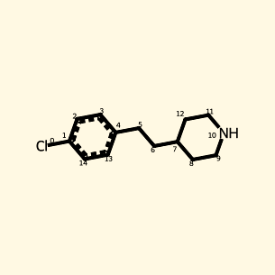 Clc1ccc(CCC2CCNCC2)cc1